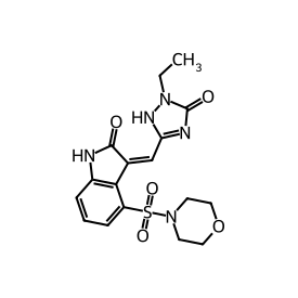 CCn1[nH]c(/C=C2\C(=O)Nc3cccc(S(=O)(=O)N4CCOCC4)c32)nc1=O